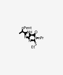 CCCCCC(C)c1nc2nc(SCC)n(CCC)c(=O)c2[nH]1